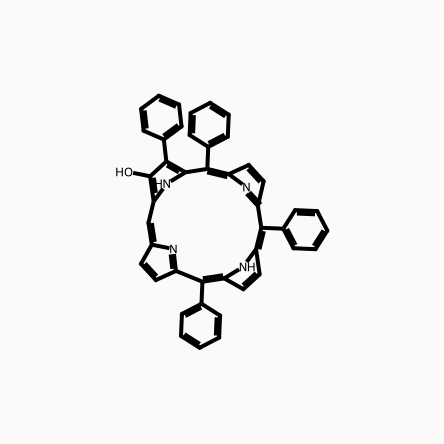 Oc1c(-c2ccccc2)c2[nH]c1cc1nc(c(-c3ccccc3)c3ccc([nH]3)c(-c3ccccc3)c3nc(c2-c2ccccc2)C=C3)C=C1